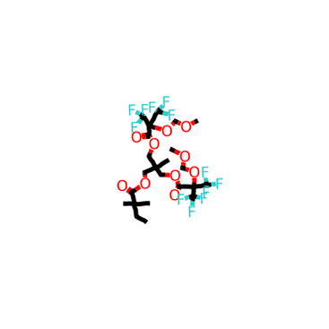 CCC(C)(C)C(=O)OCC(C)(COC(=O)C(OCOC)(C(F)(F)F)C(F)(F)F)COC(=O)C(OCOC)(C(F)(F)F)C(F)(F)F